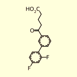 O=C(O)CCCC(=O)c1cccc(-c2ccc(F)cc2F)c1